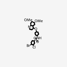 COc1cc2nccc(Oc3ccc(NS(=O)(=O)c4ccc(Br)c(Cl)c4)cc3)c2cc1OC